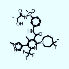 Cc1c(C(=O)Nc2cccc([S@@](C)(=O)=NC(=O)[C@@H](C)O)c2)c(N2CCCC(F)(F)CC2)nc(C(F)(F)F)c1-c1cnn(C)c1